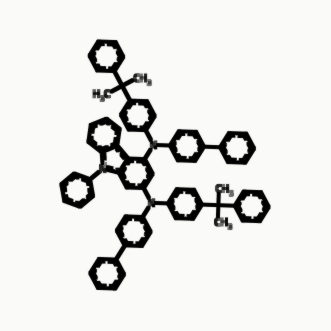 CC(C)(c1ccccc1)c1ccc(N(c2ccc(-c3ccccc3)cc2)c2cc(N(c3ccc(-c4ccccc4)cc3)c3ccc(C(C)(C)c4ccccc4)cc3)c3c4ccccc4n(-c4ccccc4)c3c2)cc1